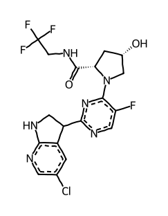 O=C(NCC(F)(F)F)[C@@H]1C[C@H](O)CN1c1nc(C2CNc3ncc(Cl)cc32)ncc1F